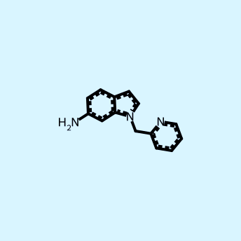 Nc1ccc2ccn(Cc3ccccn3)c2c1